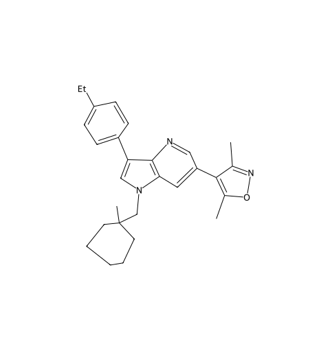 CCc1ccc(-c2cn(CC3(C)CCCCC3)c3cc(-c4c(C)noc4C)cnc23)cc1